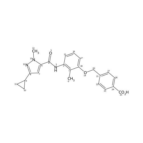 Cc1c(NC(=O)c2cc(C3CC3)nn2C)cccc1OCc1ccc(C(=O)O)cc1